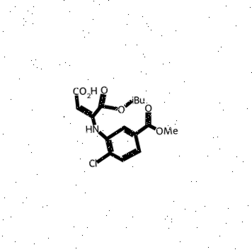 CCC(C)OC(=O)C(=CC(=O)O)Nc1cc(C(=O)OC)ccc1Cl